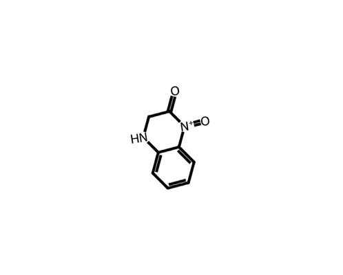 O=C1CNc2ccccc2[N+]1=O